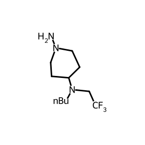 CCCCN(CC(F)(F)F)C1CCN(N)CC1